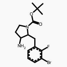 CC(C)(C)OC(=O)N1CCC(N)C1Cc1cccc(Br)c1F